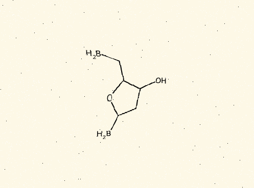 BCC1OC(B)CC1O